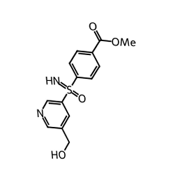 COC(=O)c1ccc(S(=N)(=O)c2cncc(CO)c2)cc1